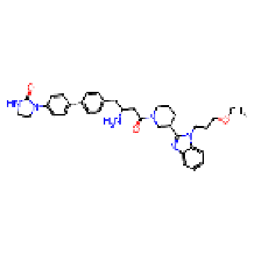 COCCCn1c(C2CCCN(C(=O)CC(N)Cc3ccc(-c4ccc(N5CCNC5=O)cc4)cc3)C2)nc2ccccc21